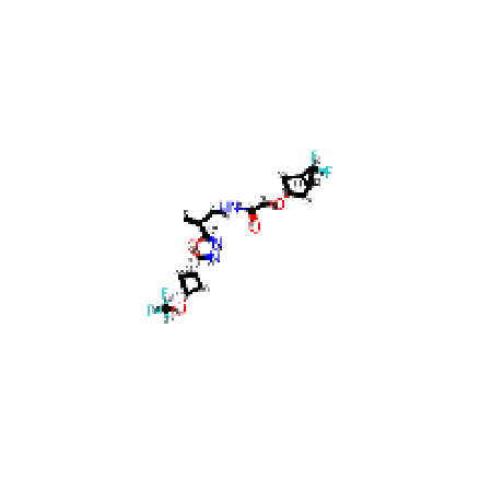 C=C(CCNC(=O)COC1CC2C(C1)C2(F)F)c1nnc([C@H]2C[C@@H](OC(F)(F)F)C2)o1